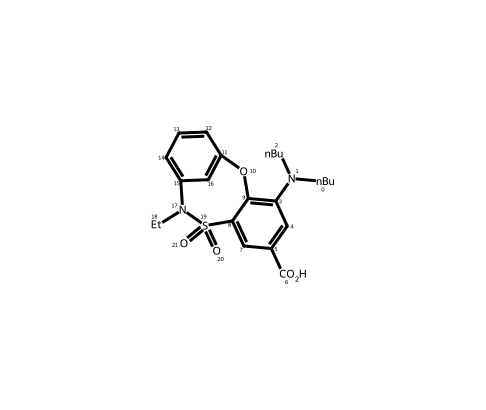 CCCCN(CCCC)c1cc(C(=O)O)cc2c1Oc1cccc(c1)N(CC)S2(=O)=O